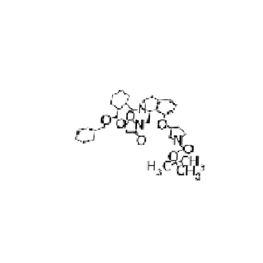 CC(C)(C)OC(=O)N1CC[C@H](Oc2cccc3c2[C@@H](CN2CCCC2=O)N(C(=O)[C@@H]2CCCC[C@@H]2C(=O)OCc2ccccc2)CC3)C1